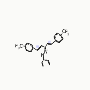 C=CC(C=C)=NN=C(/C=C/c1ccc(C(F)(F)F)cc1)/C=C/c1ccc(C(F)(F)F)cc1